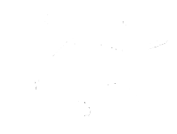 c1cc(NC[C@@H]2CCCN2)cc(-c2cccnc2NC[C@@H]2CCCN2)c1